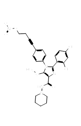 COc1c(C(=O)NN2CCCCC2)nc(-c2ccc(Cl)cc2Cl)n1-c1ccc(C#CCCO[N+](=O)[O-])cc1